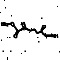 CC(C)(C)OC(=O)NCCCC(=O)C=N